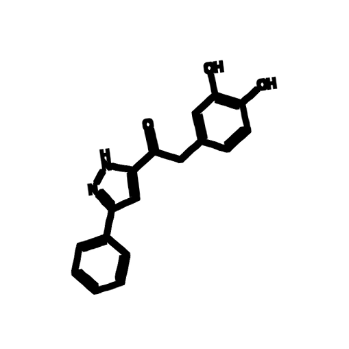 O=C(Cc1ccc(O)c(O)c1)c1cc(-c2ccccc2)n[nH]1